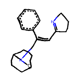 C(/C1=NCCC1)=C(/c1ccccc1)N1CC2CCC(CC2)C1